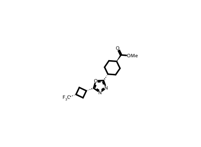 COC(=O)[C@H]1CC[C@H](c2nnc([C@H]3C[C@@H](C(F)(F)F)C3)o2)CC1